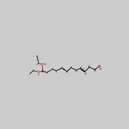 CCOC(CCCCCCC/C=C/CCBr)OCC